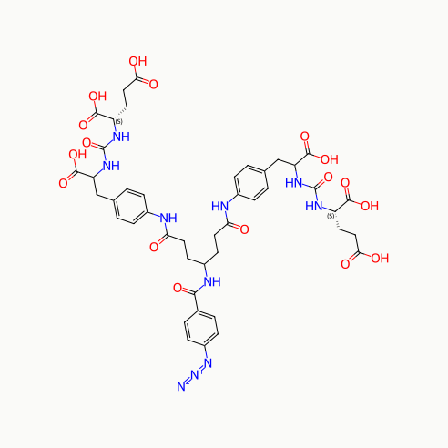 [N-]=[N+]=Nc1ccc(C(=O)NC(CCC(=O)Nc2ccc(CC(NC(=O)N[C@@H](CCC(=O)O)C(=O)O)C(=O)O)cc2)CCC(=O)Nc2ccc(CC(NC(=O)N[C@@H](CCC(=O)O)C(=O)O)C(=O)O)cc2)cc1